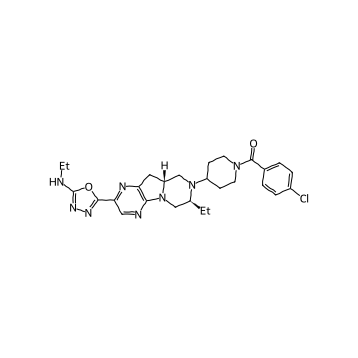 CCNc1nnc(-c2cnc3c(n2)C[C@@H]2CN(C4CCN(C(=O)c5ccc(Cl)cc5)CC4)[C@@H](CC)CN32)o1